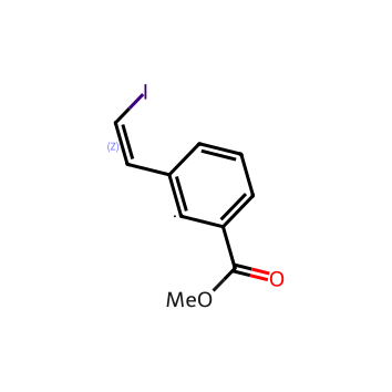 COC(=O)c1[c]c(/C=C\I)ccc1